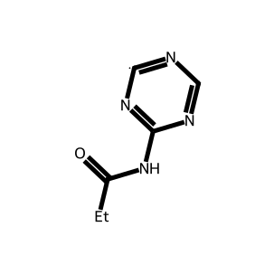 CCC(=O)Nc1n[c]ncn1